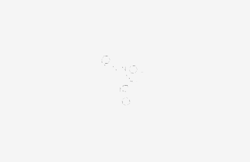 O=C(Nc1cc(C(F)(F)F)ccc1N1CCN(Cc2ccccn2)CC1)c1cnc(-c2ccccc2)o1